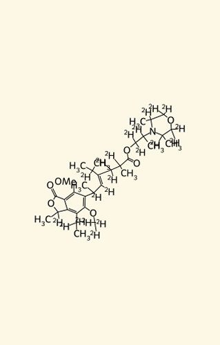 [2H]/C(=C(/C([2H])(C)C)C([2H])([2H])C([2H])(C)C(=O)OC([2H])([2H])C([2H])(C)N1C([2H])(C)C([2H])([2H])OC([2H])([2H])C1([2H])C)C([2H])(C)c1c(OC)c2c(c(C([2H])([2H])C)c1OC([2H])([2H])[2H])C([2H])(C)OC2=O